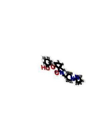 O=C1c2c(cccc2O[C@@H]2CCCC[C@H]2O)CN1CC1CCN(c2ccccn2)CC1